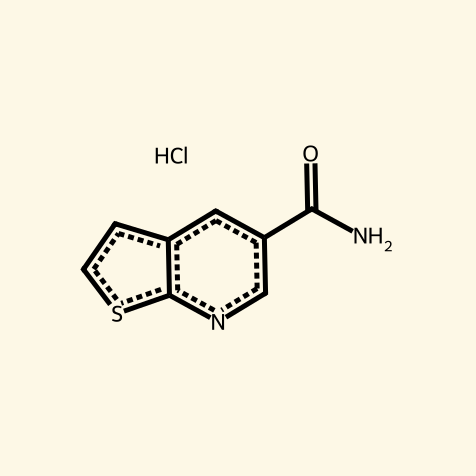 Cl.NC(=O)c1cnc2sccc2c1